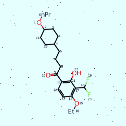 CCCOC1CCC(CCCC(=O)c2ccc(OCC)c(C(F)F)c2O)CC1